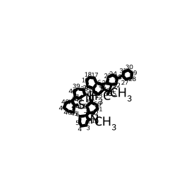 Cn1c2ccccc2c2cc(N(c3cc4c(c5ccccc35)-c3ccc(-c5ccccc5)cc3C4(C)C)c3cccc4c3sc3ccccc34)ccc21